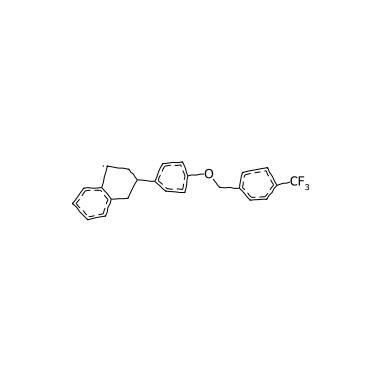 FC(F)(F)c1ccc(COc2ccc(C3C[CH]c4ccccc4C3)cc2)cc1